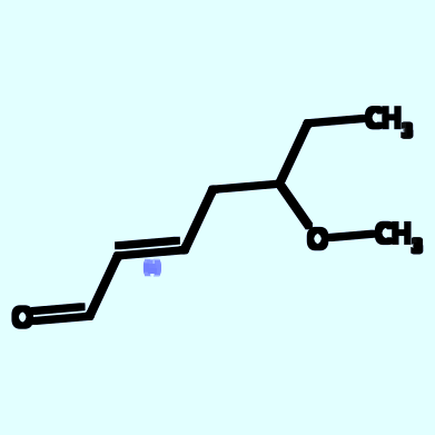 CCC(C/C=C/C=O)OC